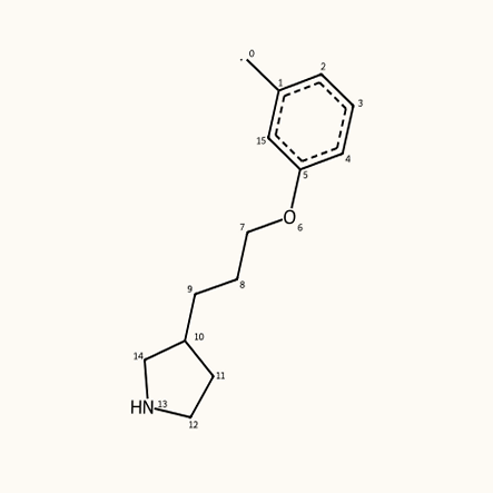 [CH2]c1cccc(OCCCC2CCNC2)c1